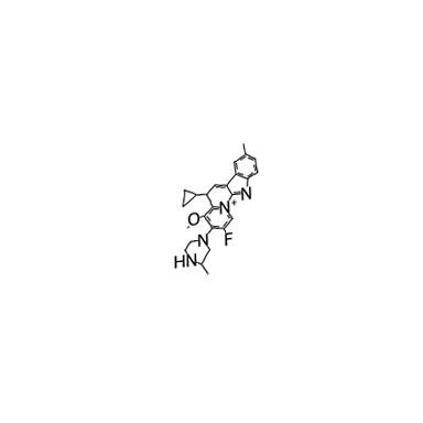 COc1c(N2CCNC(C)C2)c(F)c[n+]2c1C(C1CC1)C=C1C2=Nc2ccc(C)cc21